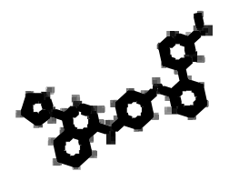 CNc1nccc(-c2cccnc2Oc2ccc(Nc3nnc(-n4cccn4)c4ccccc34)cc2)n1